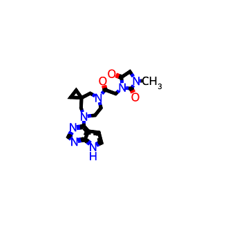 CN1CC(=O)N(CC(=O)N2CCN(c3ncnc4[nH]ccc34)CC3(CC3)C2)C1=O